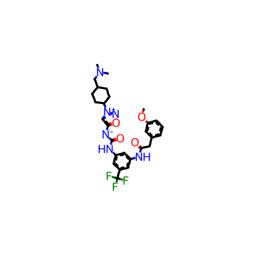 COc1cccc(CC(=O)Nc2cc(NC(=O)[N-]c3c[n+](C4CCC(CN(C)C)CC4)no3)cc(C(F)(F)F)c2)c1